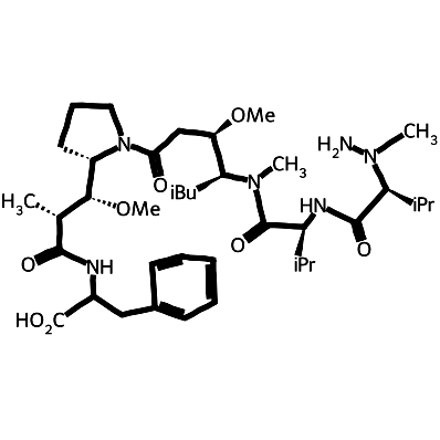 CCC(C)[C@@H]([C@@H](CC(=O)N1CCC[C@H]1[C@H](OC)[C@@H](C)C(=O)NC(Cc1ccccc1)C(=O)O)OC)N(C)C(=O)[C@@H](NC(=O)[C@H](C(C)C)N(C)N)C(C)C